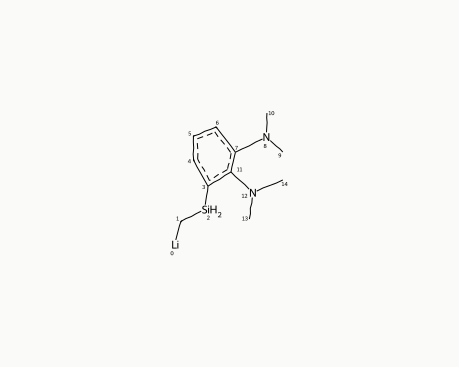 [Li][CH2][SiH2]c1cccc(N(C)C)c1N(C)C